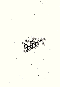 CC1=NC2(N=C1N)c1cc(-c3cc(Cl)cnc3C(N)=O)ccc1Oc1ncc(OCC(C)(C)C)cc12